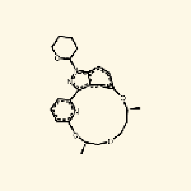 C[C@@H]1COCC[C@H](C)Oc2ccc3c(c2)c(nn3C2CCCCO2)-c2cccc(n2)O1